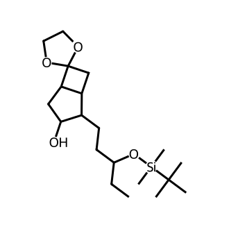 CCC(CCC1C(O)CC2C1CC21OCCO1)O[Si](C)(C)C(C)(C)C